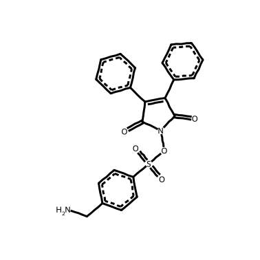 NCc1ccc(S(=O)(=O)ON2C(=O)C(c3ccccc3)=C(c3ccccc3)C2=O)cc1